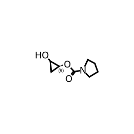 O=C(O[C@@H]1CC1O)N1CCCC1